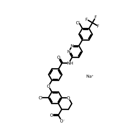 O=C(Nc1ccc(-c2ccc(C(F)(F)F)c(Cl)c2)nn1)c1ccc(Oc2cc3c(cc2Cl)C(C(=O)[O-])CCO3)cc1.[Na+]